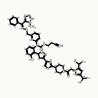 C#CCCOC(=O)N(c1cccc(CO/N=C(/c2ccccc2)c2nnnn2C)n1)c1cccc(Cl)c1C1CC(c2csc(C3CCN(C(=O)Cn4nc(C(F)F)cc4C(F)F)CC3)n2)=NO1